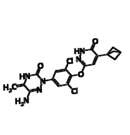 C=C1NC(=O)N(c2cc(Cl)c(Oc3cc(C45CC(C4)C5)c(=O)[nH]n3)c(Cl)c2)N=C1N